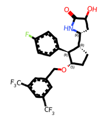 O=C1N[C@@H]([C@@H]2CC[C@H](OCc3cc(C(F)(F)F)cc(C(F)(F)F)c3)[C@H]2c2ccc(F)cc2)CC1O